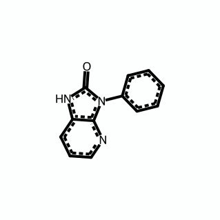 O=c1[nH]c2cccnc2n1-c1ccccc1